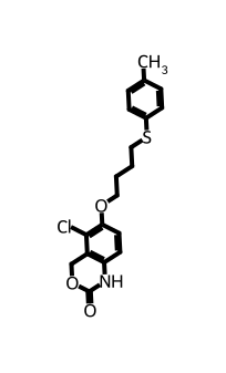 Cc1ccc(SCCCCOc2ccc3c(c2Cl)COC(=O)N3)cc1